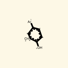 C.CC(=O)c1ccc(O)cc1